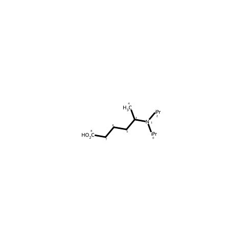 CC(C)N(C(C)C)C(C)CCCC(=O)O